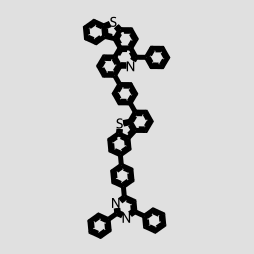 c1ccc(-c2cc(-c3ccc(-c4ccc5sc6c(-c7ccc(-c8cccc9c8nc(-c8ccccc8)c8ccc%10sc%11ccccc%11c%10c89)cc7)cccc6c5c4)cc3)nc(-c3ccccc3)n2)cc1